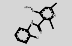 CCCCCCOc1cc(C)nc(C)c1C(=O)Nc1ccccc1Cl